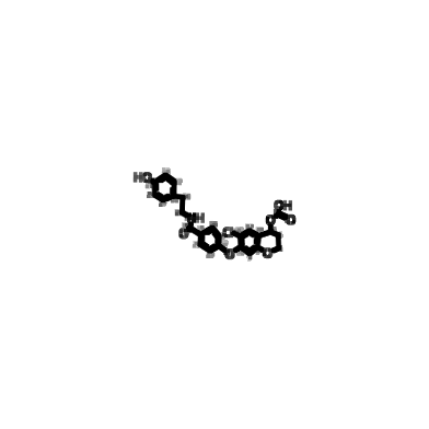 O=C(O)OC1CCOc2cc(Oc3ccc(C(=O)NCCc4ccc(O)cc4)cc3)c(Cl)cc21